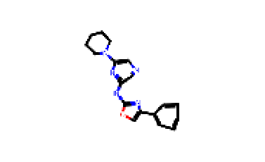 c1ccc(-c2coc(Nc3cncc(N4CCCCC4)n3)n2)cc1